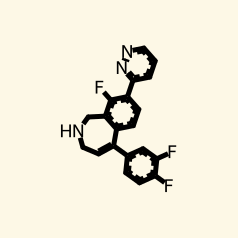 Fc1ccc(C2=CCNCc3c2ccc(-c2cccnn2)c3F)cc1F